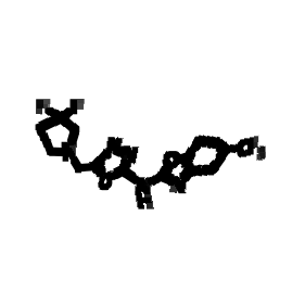 FC1(F)CCN(Cc2nnc(Nc3nc4cc(C(F)(F)F)ccc4o3)o2)C1